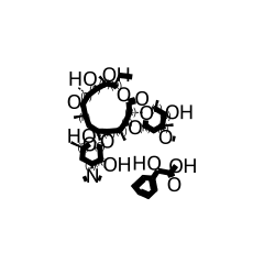 CC[C@H]1OC(=O)[C@H](C)[C@@H](O[C@H]2C[C@@](C)(OC)[C@@H](O)[C@H](C)O2)[C@@H](C)[C@@H](O[C@@H]2O[C@H](C)C[C@H](N(C)C)[C@H]2O)[C@](C)(O)C[C@@H](C)C(=O)[C@H](C)[C@H](O)[C@]1(C)O.O=C(O)C(O)c1ccccc1